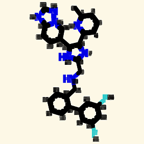 Cc1cccc(-c2nc(CNCc3ccccc3-c3cc(F)cc(F)c3)[nH]c2-c2ccc3ncnn3c2)n1